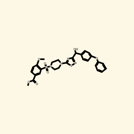 COC(=O)c1ccc(OC)c(S(=O)(=O)N2CCN(c3nc(C(O)c4ccc(Oc5ccccc5)cc4)ns3)CC2)c1